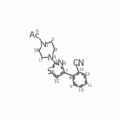 CC(=O)N1CCN(c2nc(-c3ccccc3C#N)cs2)CC1